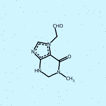 CN1CNc2ncn(CC=O)c2C1=O